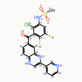 CCCS(=O)(=O)Nc1cc(F)c(F)c(C(=O)c2ccc3ncc(-c4cccnc4)nc3c2)c1Cl